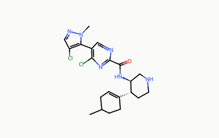 CC1CC=C([C@H]2CCNC[C@@H]2NC(=O)c2ncc(-c3c(Cl)cnn3C)c(Cl)n2)CC1